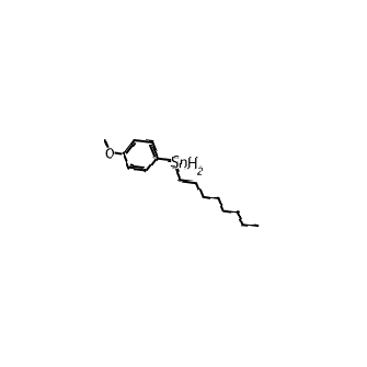 CCCCCCC[CH2][SnH2][c]1ccc(OC)cc1